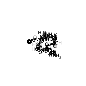 CO[C@@H]1[C@H](OP(=O)([O-])OC[C@H]2O[C@@H](n3ccc(=O)[nH]c3=O)[C@H](O)[C@@H]2O)[C@@H](COP(=O)(O)OP(=O)(O)OP(=O)(O)OC[C@H]2O[C@@H](n3c[n+](C)c4c(=O)[nH]c(N)nc43)[C@H](O)[C@@H]2CNC(=O)OCc2ccccc2)O[C@H]1n1cnc2c(N)ncnc21